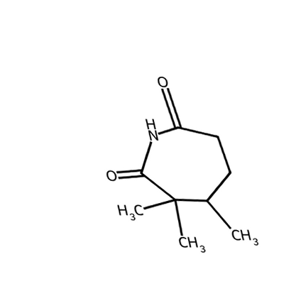 CC1CCC(=O)NC(=O)C1(C)C